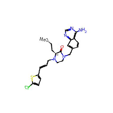 COCC[C@H]1C(=O)N(Cc2ccc3c(N)ncnc3c2)CCN1CC=Cc1ccc(Cl)s1